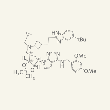 COc1ccc(CNc2ncnc3c2ccn3[C@@H]2C[C@H](CN(CC3CC3)C3CC(CCc4nc5cc(C(C)(C)C)ccc5[nH]4)C3)[C@H]3OC(C)(C)O[C@H]32)c(OC)c1